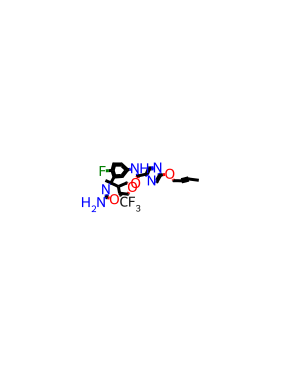 CC#CCOc1cnc(C(=O)Nc2ccc(F)c(C3(C)N=C(N)OC4(C(F)(F)F)COCC34)c2)cn1